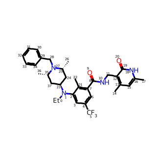 CCN(c1cc(C(F)(F)F)cc(C(=O)NCc2c(C)cc(C)[nH]c2=O)c1C)[C@@H]1C[C@@H](C)N(Cc2ccccc2)[C@@H](C)C1